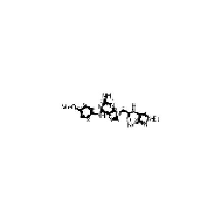 CCn1cc(NC(=O)Cn2cnc3c(Nc4ccc(OC)cc4)nc(N)nc32)c(C#N)n1